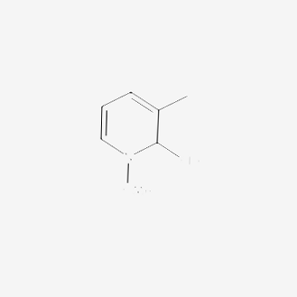 CON1C=CC=C(C)C1C=O